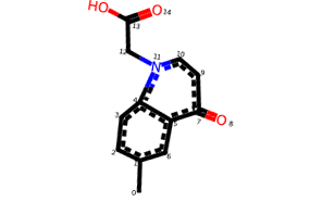 Cc1ccc2c(c1)c(=O)ccn2CC(=O)O